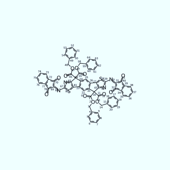 O=C(OCc1ccccc1)C1(C(=O)OCc2ccccc2)c2cc3c(cc2-c2sc(N=c4c(=O)c5ccccc5c4=O)nc21)C(C(=O)OCc1ccccc1)(C(=O)OCc1ccccc1)c1nc(N=c2c(=O)c4ccccc4c2=O)sc1-3